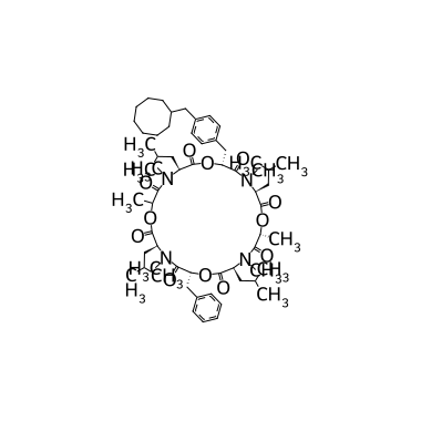 CC(C)C[C@H]1C(=O)O[C@H](Cc2ccc(CC3CCCCCCC3)cc2)C(=O)N(C)[C@@H](CC(C)C)C(=O)O[C@H](C)C(=O)N(C)[C@@H](CC(C)C)C(=O)O[C@H](Cc2ccccc2)C(=O)N(C)[C@@H](CC(C)C)C(=O)OC(C)C(=O)N1C